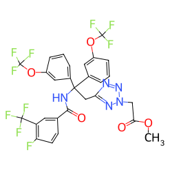 COC(=O)Cn1nnc(CC(NC(=O)c2ccc(F)c(C(F)(F)F)c2)(c2cccc(OC(F)(F)F)c2)c2cccc(OC(F)(F)F)c2)n1